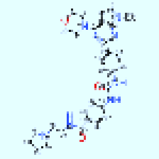 CCn1ccc2c(N3CCOCC3)nc(-c3ccc(NC(=O)Nc4ccc(C(=O)NCCN5CCCC5)cc4)cc3)nc21